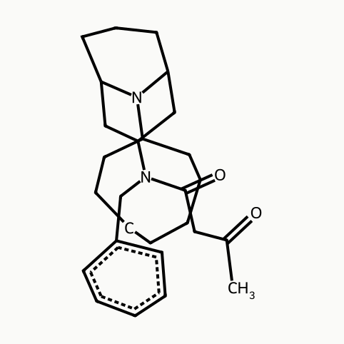 CC(=O)CC(=O)N(Cc1ccccc1)C1CC2CCCC(C1)N2C1CCCCCCC1